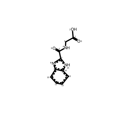 O=C(O)CNC(=O)c1nc2ccccc2[nH]1